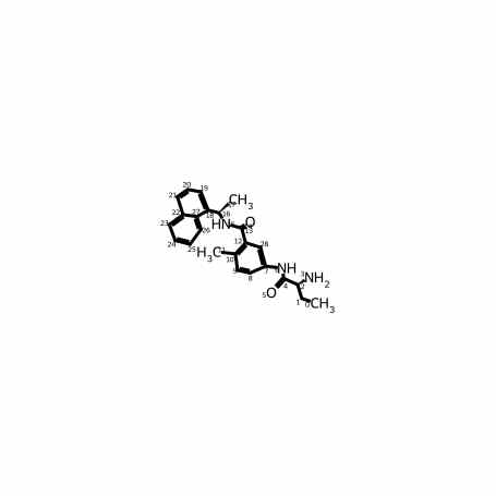 CC[C@H](N)C(=O)Nc1ccc(C)c(C(=O)N[C@H](C)c2cccc3ccccc23)c1